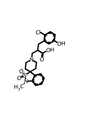 CN1c2ccccc2C2(CCN(CC(Cc3cc(O)ccc3Cl)C(=O)O)CC2)S1(=O)=O